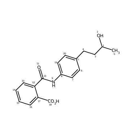 CC(O)CCc1ccc(NC(=O)c2ccccc2C(=O)O)cc1